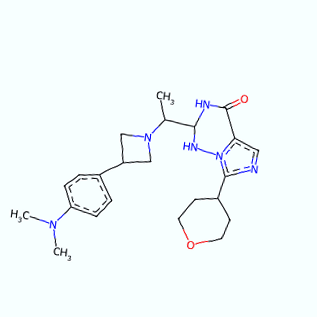 CC(C1NC(=O)c2cnc(C3CCOCC3)n2N1)N1CC(c2ccc(N(C)C)cc2)C1